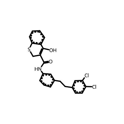 O=C(Nc1cccc(CCc2ccc(Cl)c(Cl)c2)c1)C1=C(O)c2ccccc2SC1